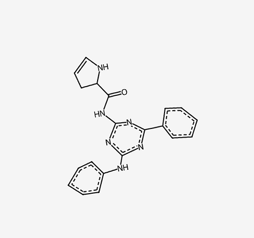 O=C(Nc1nc(Nc2ccccc2)nc(-c2ccccc2)n1)C1CC=CN1